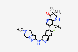 Cc1c(-c2cc3cc(Nc4cc5n(n4)CCN(C)CC5)ncc3cc2F)cnc2c1NCC(C)(C)C2=O